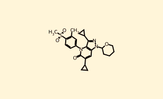 Cc1cc(-n2c(=O)c(C3CC3)cc3c2c(C2CC2)nn3C2CCCCO2)ccc1S(C)(=O)=O